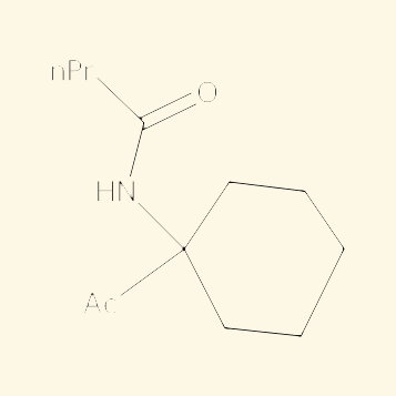 CCCC(=O)NC1(C(C)=O)CCCCC1